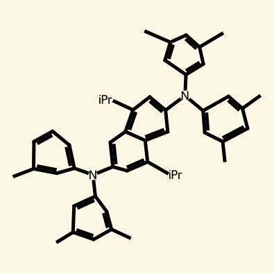 Cc1cccc(N(c2cc(C)cc(C)c2)c2cc(C(C)C)c3cc(N(c4cc(C)cc(C)c4)c4cc(C)cc(C)c4)cc(C(C)C)c3c2)c1